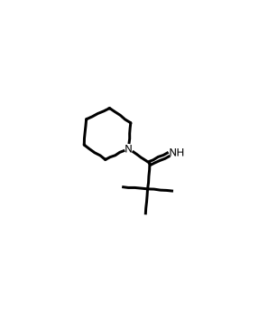 CC(C)(C)C(=N)N1CCCCC1